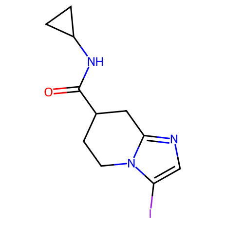 O=C(NC1CC1)C1CCn2c(I)cnc2C1